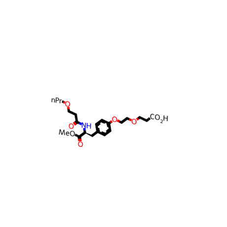 CCCOCCC(=O)N[C@@H](Cc1ccc(OCCOCCC(=O)O)cc1)C(=O)OC